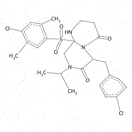 Cc1cc(S(=O)(=O)C23CN(C(C)C)C(=O)C(Cc4ccc(Cl)cc4)N2C(=O)CCN3)c(C)cc1Cl